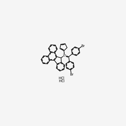 Brc1ccc([C](c2ccc(Br)cc2)=[Zr]([C]2=CC=CC2)[CH]2c3ccccc3-c3c2c2ccccc2c2ccccc32)cc1.Cl.Cl